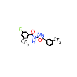 O=C(Nc1nnc(-c2cccc(C(F)(F)F)c2)o1)c1cc(F)cc(C(F)(F)F)c1